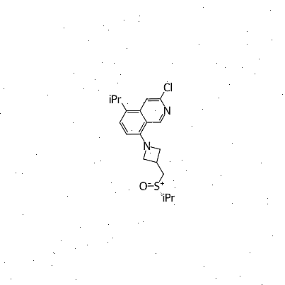 CC(C)c1ccc(N2CC(C[S@@+]([O-])C(C)C)C2)c2cnc(Cl)cc12